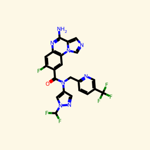 Nc1nc2cc(F)c(C(=O)N(Cc3ccc(C(F)(F)F)cn3)c3cnn(C(F)F)c3)cc2n2cncc12